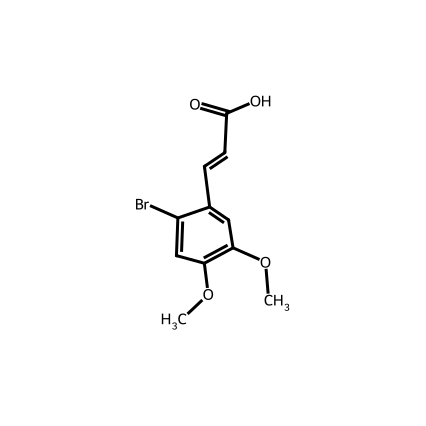 COc1cc(Br)c(C=CC(=O)O)cc1OC